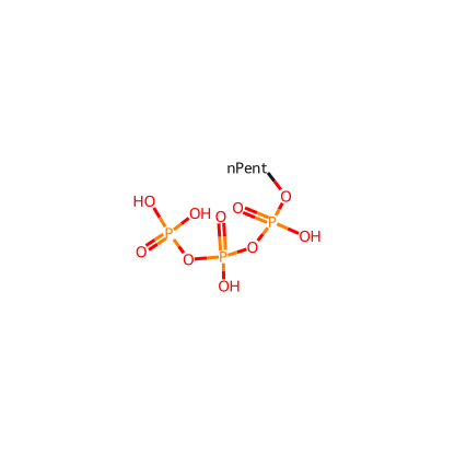 CCCCCOP(=O)(O)OP(=O)(O)OP(=O)(O)O